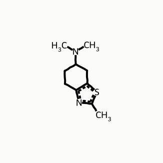 Cc1nc2c(s1)CC(N(C)C)CC2